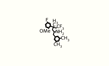 COc1ccc(F)cc1C(C)(CC(N)Cc1cc(C)cc(C)c1)CC(F)(F)F